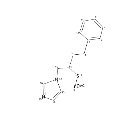 CCCCCCCCCCSC(CCc1ccccc1)Cn1ccnc1